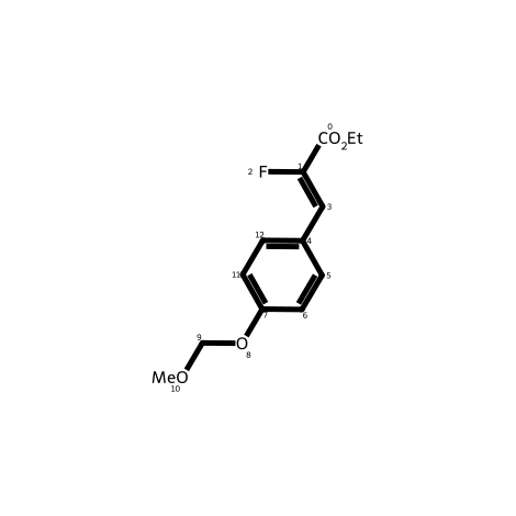 CCOC(=O)/C(F)=C/c1ccc(OCOC)cc1